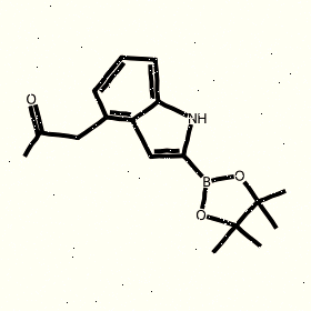 CC(=O)Cc1cccc2[nH]c(B3OC(C)(C)C(C)(C)O3)cc12